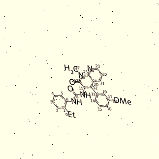 CCc1ccccc1NC(=O)Nc1c(-c2cccc(OC)c2)c2cccnc2n(C)c1=O